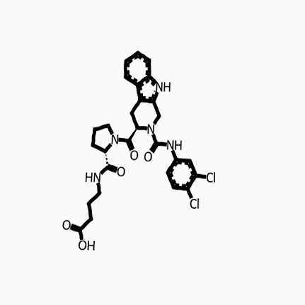 O=C(O)CCCNC(=O)[C@@H]1CCCN1C(=O)[C@H]1Cc2c([nH]c3ccccc23)CN1C(=O)Nc1ccc(Cl)c(Cl)c1